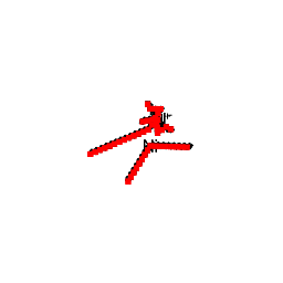 CCCCCCCCCCCCCCCCCCCCCCCCCC#CC1=C(c2cc(CC)cc(CCCC)c2)[N+](=[N-])C(c2cc(CC)cc(CCCC)c2)=C1CCCCC.CCCCCCCCCCCCCCC[CH2][Ni][CH2]CCCCCCCCCCCCCCC